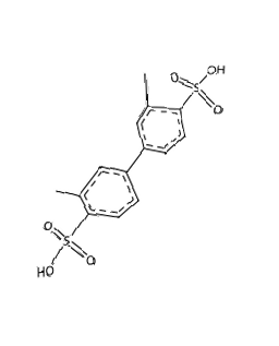 Cc1cc(-c2ccc(S(=O)(=O)O)c(C)c2)ccc1S(=O)(=O)O